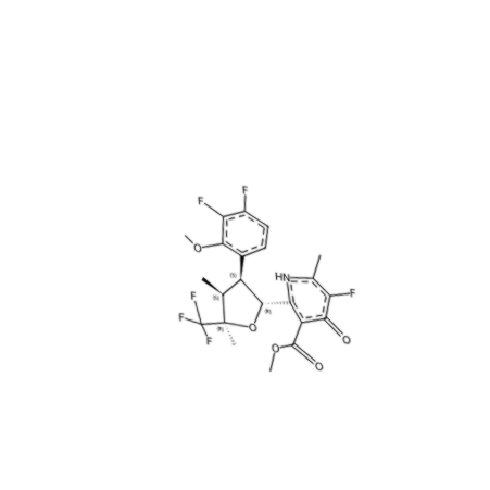 COC(=O)c1c([C@@H]2O[C@@](C)(C(F)(F)F)[C@@H](C)[C@H]2c2ccc(F)c(F)c2OC)[nH]c(C)c(F)c1=O